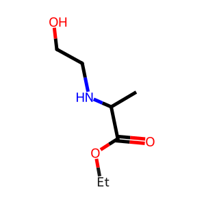 CCOC(=O)C(C)NCCO